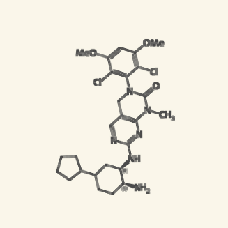 COc1cc(OC)c(Cl)c(N2Cc3cnc(N[C@@H]4CC(C5CCCC5)CC[C@@H]4N)nc3N(C)C2=O)c1Cl